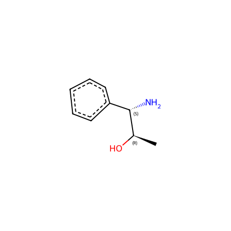 C[C@@H](O)[C@@H](N)c1ccccc1